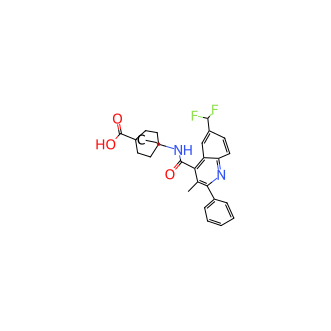 Cc1c(-c2ccccc2)nc2ccc(C(F)F)cc2c1C(=O)NC12CCC(C(=O)O)(CC1)CC2